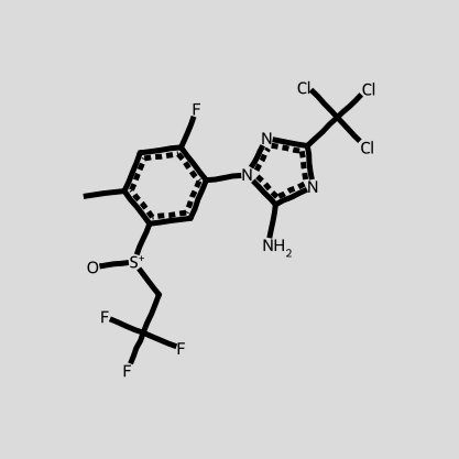 Cc1cc(F)c(-n2nc(C(Cl)(Cl)Cl)nc2N)cc1[S+]([O-])CC(F)(F)F